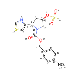 CS(=O)(=O)O[C@@H]1C[C@@H](c2cscn2)N(C(=O)OCc2ccc([N+](=O)[O-])cc2)C1